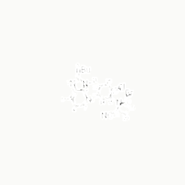 CCCCc1nc2c(C)ccnc2n1Cc1ccc(-n2c(Br)ccc2C#N)c(Cl)c1